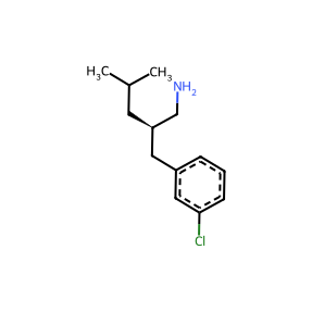 CC(C)C[C@@H](CN)Cc1cccc(Cl)c1